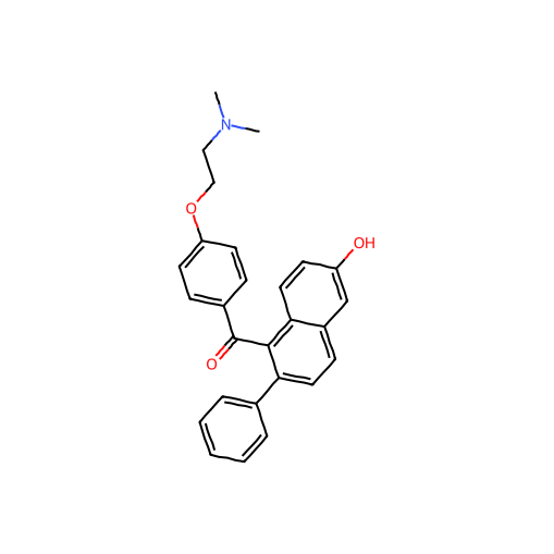 CN(C)CCOc1ccc(C(=O)c2c(-c3ccccc3)ccc3cc(O)ccc23)cc1